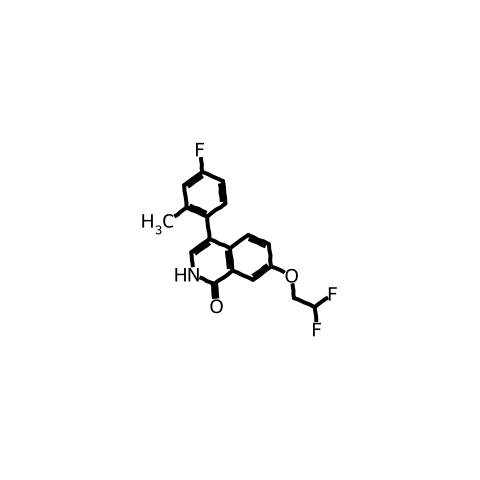 Cc1cc(F)ccc1-c1c[nH]c(=O)c2cc(OCC(F)F)ccc12